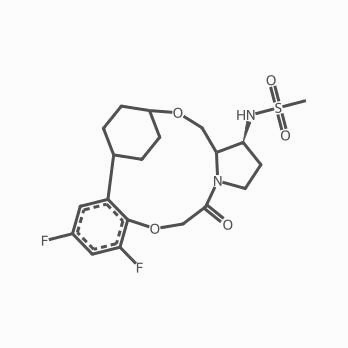 CS(=O)(=O)N[C@H]1CCN2C(=O)COc3c(F)cc(F)cc3C3CCC(CC3)OCC12